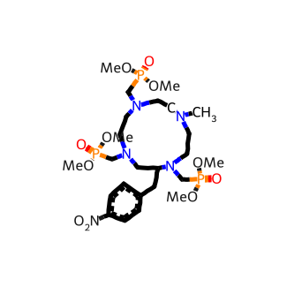 COP(=O)(CN1CCN(C)CCN(CP(=O)(OC)OC)C(Cc2ccc([N+](=O)[O-])cc2)CN(CP(=O)(OC)OC)CC1)OC